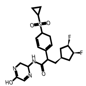 O=C(NC1CN=C(O)C=N1)C(C[C@H]1C[C@@H](F)[C@@H](F)C1)C1=CCC(S(=O)(=O)C2CC2)C=C1